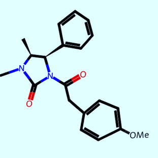 COc1ccc(CC(=O)N2C(=O)N(C)[C@@H](C)[C@H]2c2ccccc2)cc1